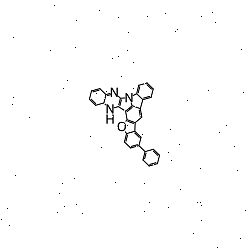 C1=CC2=Nc3c(c4c5oc6ccc(-c7ccccc7)cc6c5cc5c6ccccc6n3c54)NC2C=C1